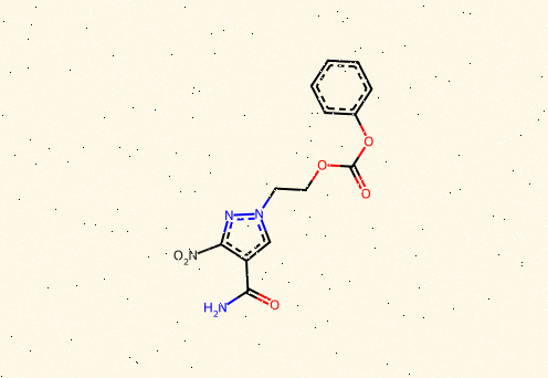 NC(=O)c1cn(CCOC(=O)Oc2ccccc2)nc1[N+](=O)[O-]